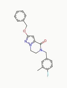 Cc1cc(CN2CCn3nc(OCc4ccccc4)cc3C2=O)ccc1F